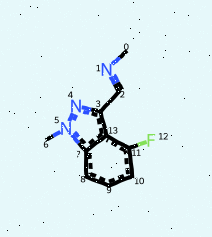 CN=Cc1nn(C)c2cccc(F)c12